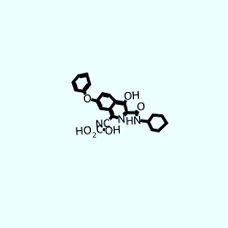 N#Cc1nc(C(=O)NC2CCCCC2)c(O)c2ccc(Oc3ccccc3)cc12.O=C(O)O